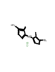 CCCC1=C(C)[C]([Hf+2][C]2=CCC(CCC)=C2C)=CC1.[Cl-].[Cl-]